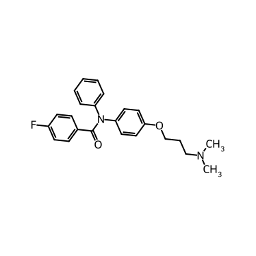 CN(C)CCCOc1ccc(N(C(=O)c2ccc(F)cc2)c2ccccc2)cc1